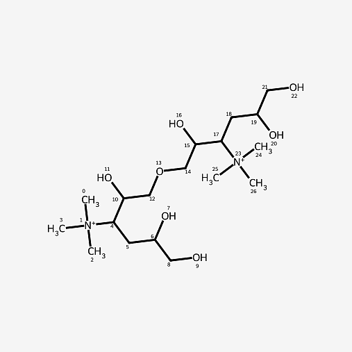 C[N+](C)(C)C(CC(O)CO)C(O)COCC(O)C(CC(O)CO)[N+](C)(C)C